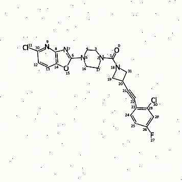 O=C(N1CCN(c2nc3nc(Cl)ccc3o2)CC1)N1CC(C#Cc2ccc(F)cc2Cl)C1